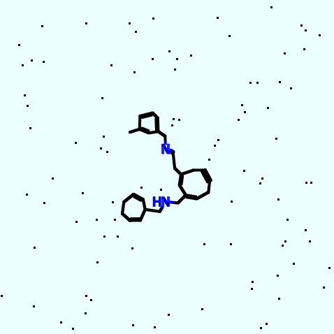 Cc1cccc(C/N=C/C/C2=C/C(CNCC3C=CCCC=C3)=C\CC#CC2)c1